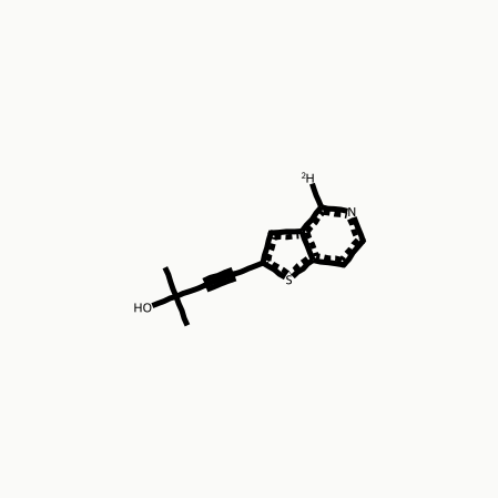 [2H]c1nccc2sc(C#CC(C)(C)O)cc12